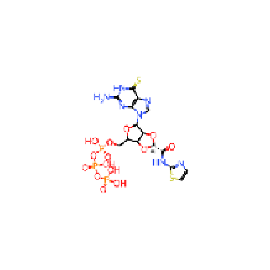 Nc1nc2c(ncn2C2OC(COP(=O)(O)OP(=O)(O)OP(=O)(O)O)C3O[C@@H](C(=O)Nc4nccs4)OC32)c(=S)[nH]1